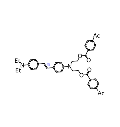 CCN(CC)c1ccc(/C=C/c2ccc(N(CCOC(=O)c3ccc(C(C)=O)cc3)CCOC(=O)c3ccc(C(C)=O)cc3)cc2)cc1